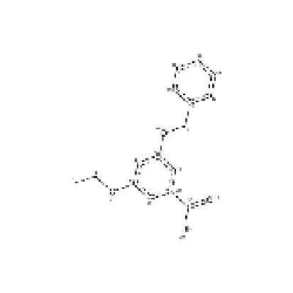 CCOc1cc(OCc2ccccc2)cc(C(=O)O)c1